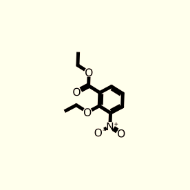 CCOC(=O)c1cccc([N+](=O)[O-])c1OCC